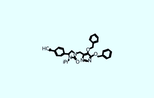 C#Cc1ccc(C2CN(Cc3ncnc(OCc4ccccc4)c3OCc3ccccc3)C(=O)N2C(C)C)cc1